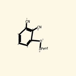 CCCCCOc1cccc(C#N)c1C#N